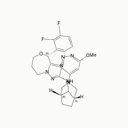 COc1cc(N2C[C@H]3CC[C@@H](C2)C3Nc2nc3n(n2)CCCO[C@@H]3c2cccc(F)c2F)cnn1